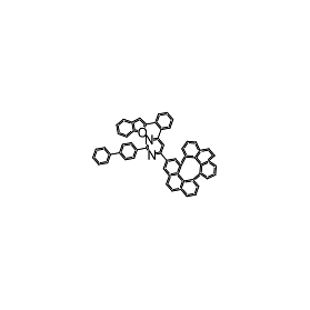 c1ccc(-c2ccc(-c3nc(-c4cc5ccc6cccc7c8cccc9ccc%10cccc(c(c4)c5c67)c%10c98)cc(-c4ccccc4-c4cc5ccccc5o4)n3)cc2)cc1